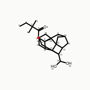 CCC(C)(C)C(=O)OC12CC3CC4C5(C(O)O)CC6CC1C5C4(C3)C2C6